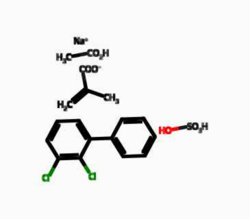 C=C(C)C(=O)[O-].CC(=O)O.Clc1cccc(-c2ccccc2)c1Cl.O=S(=O)(O)O.[Na+]